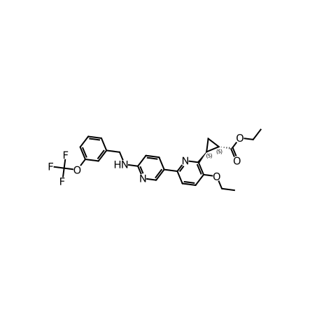 CCOC(=O)[C@H]1C[C@@H]1c1nc(-c2ccc(NCc3cccc(OC(F)(F)F)c3)nc2)ccc1OCC